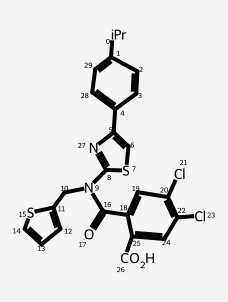 CC(C)c1ccc(-c2csc(N(Cc3cccs3)C(=O)c3cc(Cl)c(Cl)cc3C(=O)O)n2)cc1